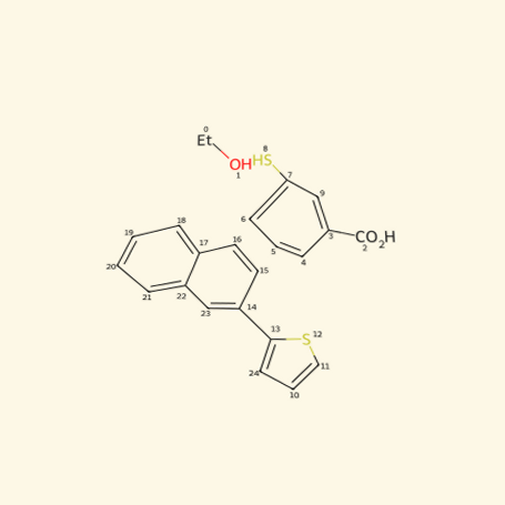 CCO.O=C(O)c1cccc(S)c1.c1csc(-c2ccc3ccccc3c2)c1